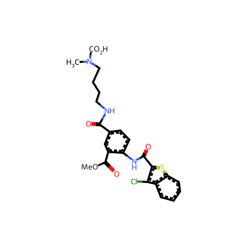 COC(=O)c1cc(C(=O)NCCCCN(C)C(=O)O)ccc1NC(=O)c1sc2ccccc2c1Cl